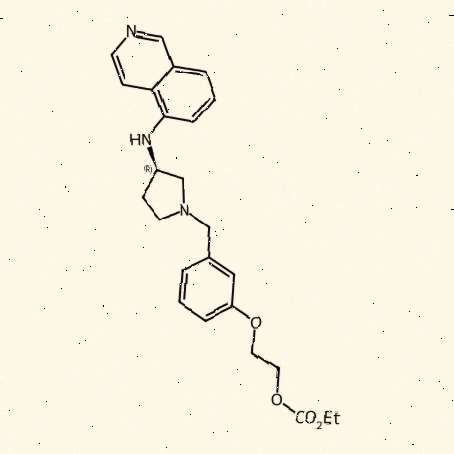 CCOC(=O)OCCOc1cccc(CN2CC[C@@H](Nc3cccc4cnccc34)C2)c1